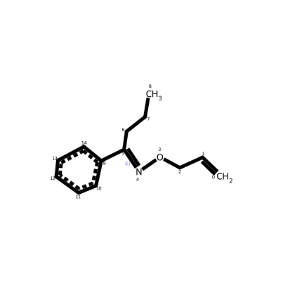 C=CCO/N=C(\CCC)c1ccccc1